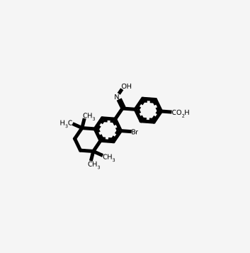 CC1(C)CCC(C)(C)c2cc(C(=NO)c3ccc(C(=O)O)cc3)c(Br)cc21